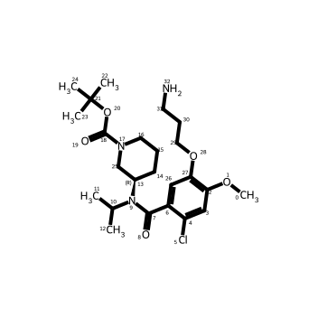 COc1cc(Cl)c(C(=O)N(C(C)C)[C@@H]2CCCN(C(=O)OC(C)(C)C)C2)cc1OCCCN